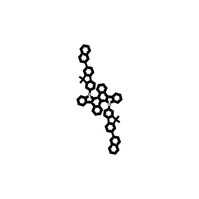 CC1(C)c2cc(-c3ccc4ccccc4c3)ccc2-c2ccc(-n3c4ccccc4c4c5ccccc5c5c(c6ccccc6c6c7ccccc7n(-c7ccc8c(c7)C(C)(C)c7cc(-c9ccc%10ccccc%10c9)ccc7-8)c65)c43)cc21